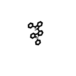 c1ccc(-c2sc(-c3cccc4c3c3ccccc3n4-c3ccccc3)c3ccccc23)cc1